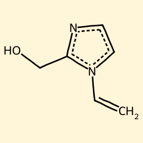 C=Cn1ccnc1CO